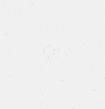 I.[Zn][c]1ccccc1Br